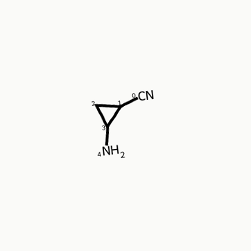 N#CC1CC1N